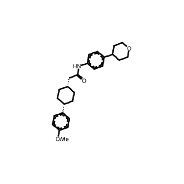 COc1ccc([C@H]2CC[C@@H](CC(=O)Nc3ccc(C4CCOCC4)cc3)CC2)cc1